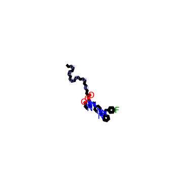 CC/C=C\C/C=C\C/C=C\C/C=C\C/C=C\C/C=C/CCC(=O)OCn1c(N(C)C2CCN(c3nc4ccccc4n3Cc3ccc(F)cc3)CC2)nccc1=O